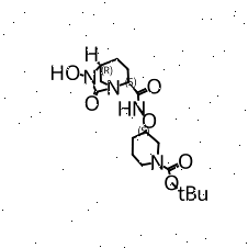 CC(C)(C)OC(=O)N1CCC[C@H](ONC(=O)[C@@H]2CC[C@@H]3CN2C(=O)N3O)C1